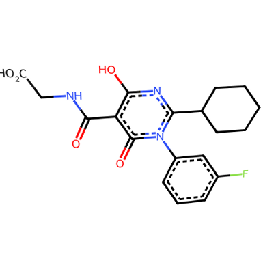 O=C(O)CNC(=O)c1c(O)nc(C2CCCCC2)n(-c2cccc(F)c2)c1=O